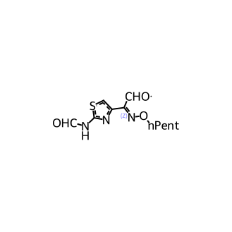 CCCCCO/N=C(\[C]=O)c1csc(NC=O)n1